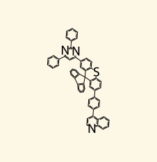 c1ccc(-c2cc(-c3ccc4c(c3)C3(c5cc(-c6ccc(-c7ccnc8ccccc78)cc6)ccc5S4)c4ccccc4-c4ccccc43)nc(-c3ccccc3)n2)cc1